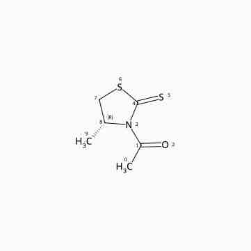 CC(=O)N1C(=S)SC[C@H]1C